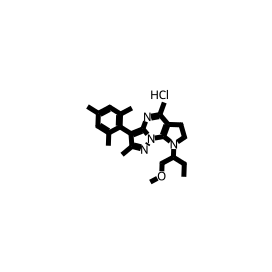 CCC(COC)N1CCc2c(C)nc3c(-c4c(C)cc(C)cc4C)c(C)nn3c21.Cl